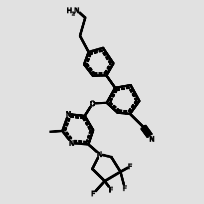 Cc1nc(Oc2cc(C#N)ccc2-c2ccc(CCN)cc2)cc(N2CC(F)(F)C(F)(F)C2)n1